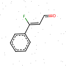 O=CC=C(F)c1ccccc1